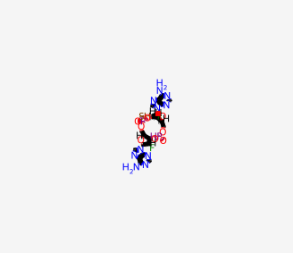 Nc1ncnc2c1ncn2[C@@H]1O[C@@H]2COP(=O)(S)O[C@@H]3[C@H](F)[C@@H](CO[PH](=O)O[C@H]2[C@H]1F)O[C@H]3n1cnc2c(N)ncnc21